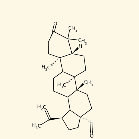 C=C(C)[C@@H]1CC[C@]2(C=O)CC[C@]3(C)C(CCC4[C@@]5(C)CCC(=O)C(C)(C)[C@@H]5CC[C@]43C)C12